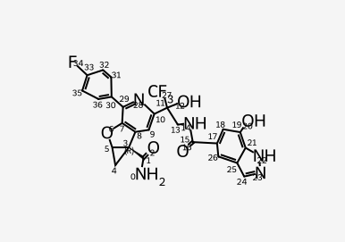 NC(=O)[C@@]12CC1Oc1c2cc(C(O)(CNC(=O)c2cc(O)c3[nH]ncc3c2)C(F)(F)F)nc1-c1ccc(F)cc1